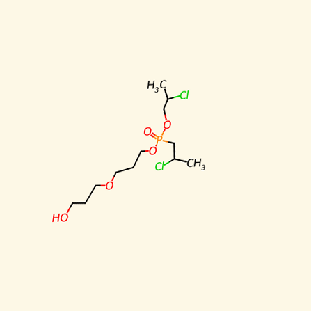 CC(Cl)COP(=O)(CC(C)Cl)OCCCOCCCO